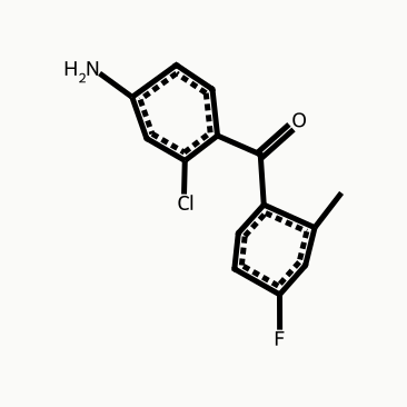 Cc1cc(F)ccc1C(=O)c1ccc(N)cc1Cl